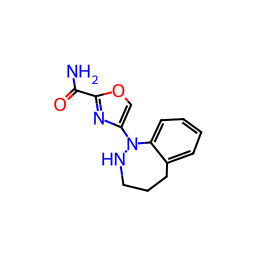 NC(=O)c1nc(N2NCCCc3ccccc32)co1